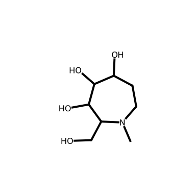 CN1CCC(O)C(O)C(O)C1CO